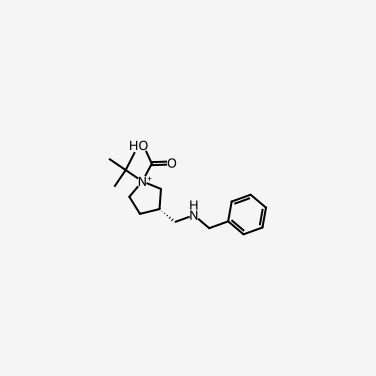 CC(C)(C)[N+]1(C(=O)O)CC[C@@H](CNCc2ccccc2)C1